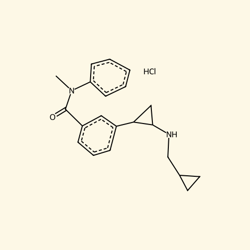 CN(C(=O)c1cccc(C2CC2NCC2CC2)c1)c1ccccc1.Cl